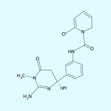 CCC[C@@]1(c2cccc(NC(=O)N3CC=CC=C3Cl)c2)CC(=O)N(C)C(N)=N1